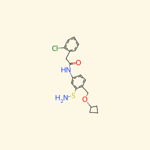 NSc1cc(NC(=O)Cc2ccccc2Cl)ccc1COC1CCC1